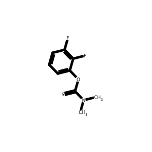 CN(C)C(=S)Oc1cccc(F)c1F